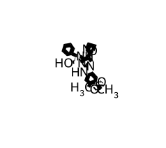 Cc1cc(Nc2ncc(-c3ncco3)c(N[C@H](CO)c3ccccc3)n2)ccc1S(C)(=O)=O